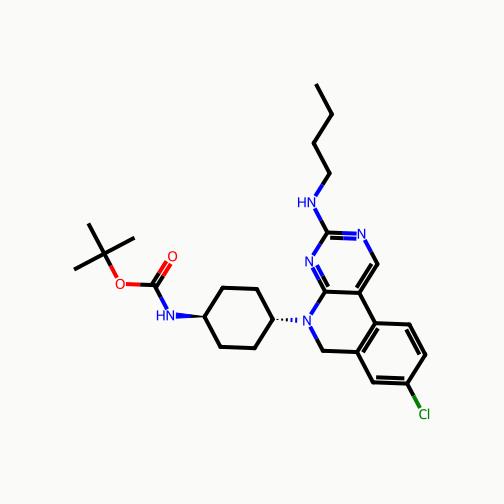 CCCCNc1ncc2c(n1)N([C@H]1CC[C@H](NC(=O)OC(C)(C)C)CC1)Cc1cc(Cl)ccc1-2